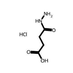 Cl.NNC(=O)CCC(=O)O